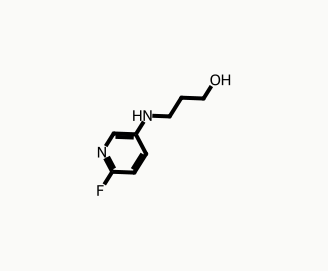 OCCCNc1ccc(F)nc1